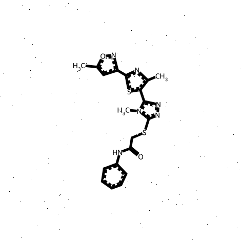 Cc1cc(-c2nc(C)c(-c3nnc(SCC(=O)Nc4ccccc4)n3C)s2)no1